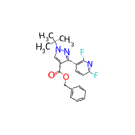 CC(C)(C)n1cc(C(=O)OCc2ccccc2)c(-c2ccc(F)nc2F)n1